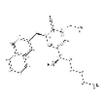 CC(C)CNC(=O)[C@H](Cc1cnc2ccccc2c1)NC(=O)[C@H](N)CCCCN